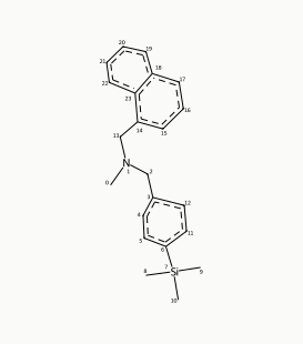 CN(Cc1ccc([Si](C)(C)C)cc1)Cc1cccc2ccccc12